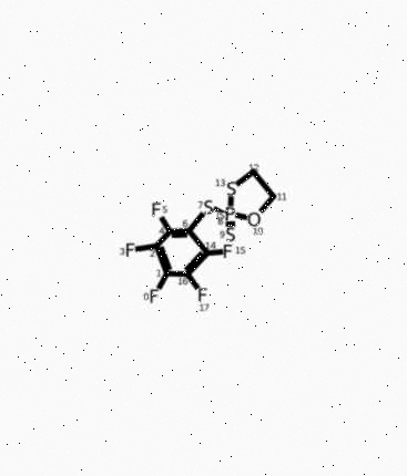 Fc1c(F)c(F)c(S[P@]2(=S)OCCS2)c(F)c1F